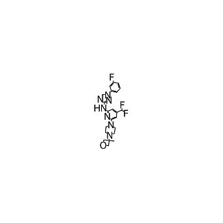 CC1(N2CCN(c3cc(C(F)F)cc(Nc4ncn(-c5cccc(F)c5)n4)n3)CC2)COC1